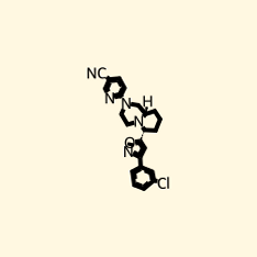 N#Cc1ccc(N2CCN3[C@@H](CCC[C@@H]3c3cc(-c4cccc(Cl)c4)no3)C2)nc1